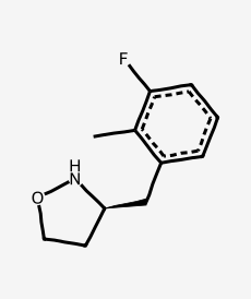 Cc1c(F)cccc1C[C@H]1CCON1